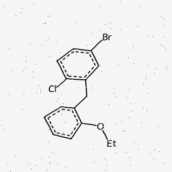 CCOc1ccccc1Cc1cc(Br)ccc1Cl